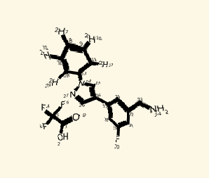 O=C(O)C(F)(F)F.[2H]c1c([2H])c([2H])c(-n2cc(-c3cc(F)cc(CN)c3)cn2)c([2H])c1[2H]